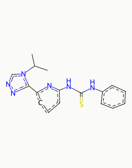 CC(C)n1cnnc1-c1cccc(NC(=S)Nc2ccccc2)n1